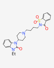 CCn1c(=O)n(C2CCN(CCCCN3C(=O)c4ccccc4S3(=O)=O)CC2)c2ccccc21